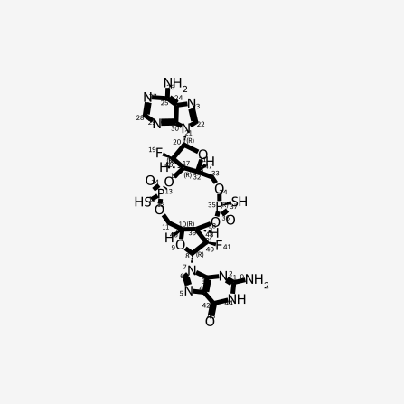 Nc1nc2c(ncn2[C@@H]2O[C@@H]3COP(=O)(S)O[C@H]4[C@@H](F)[C@H](n5cnc6c(N)ncnc65)O[C@@H]4CO[P@@](=O)(S)O[C@H]3[C@H]2F)c(=O)[nH]1